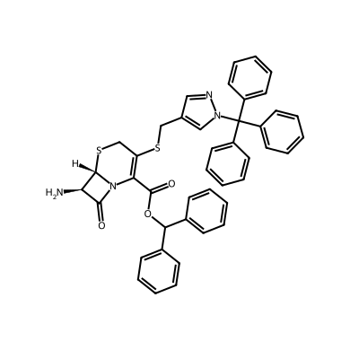 N[C@@H]1C(=O)N2C(C(=O)OC(c3ccccc3)c3ccccc3)=C(SCc3cnn(C(c4ccccc4)(c4ccccc4)c4ccccc4)c3)CS[C@@H]12